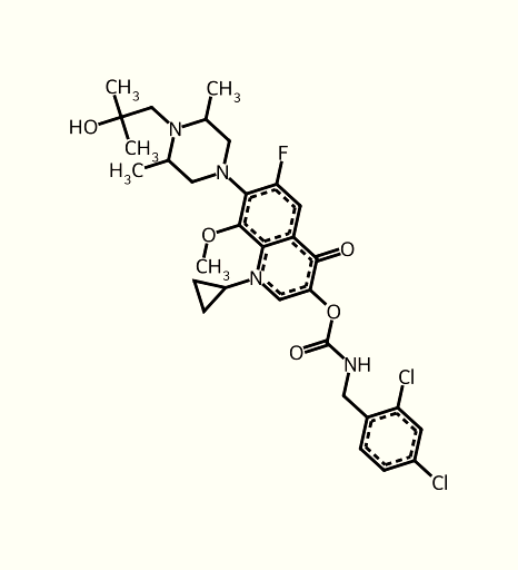 COc1c(N2CC(C)N(CC(C)(C)O)C(C)C2)c(F)cc2c(=O)c(OC(=O)NCc3ccc(Cl)cc3Cl)cn(C3CC3)c12